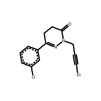 CCC#CCN1N=C(c2cccc(Cl)c2)CCC1=O